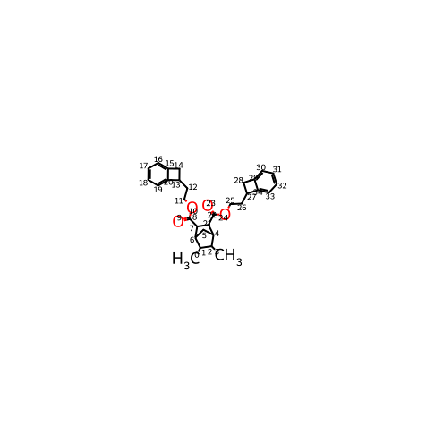 CC1C(C)C2CC1C(C(=O)OCCC1Cc3ccccc31)C2C(=O)OCCC1Cc2ccccc21